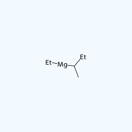 C[CH2][Mg][CH](C)CC